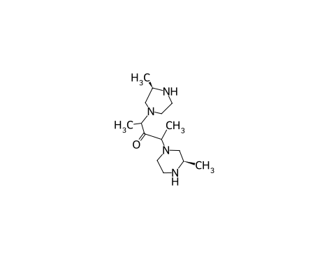 CC(C(=O)C(C)N1CCN[C@H](C)C1)N1CCN[C@H](C)C1